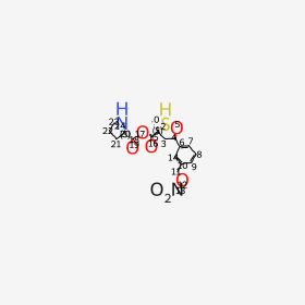 C[C@](S)(CC(=O)c1cccc(CO[N+](=O)[O-])c1)C(=O)OC(=O)[C@@H]1CCCN1